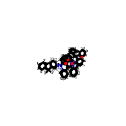 CC1(C)c2ccccc2-c2ccc(N(c3ccc(-c4cccc5c4C4(c6ccccc6-5)c5ccccc5-n5c6ccccc6c6cccc4c65)cc3)c3ccccc3-c3ccccc3)cc21